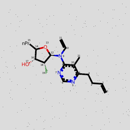 C=CCCc1ncnc(N(C=C)[C@@H]2OC(CCC)[C@@H](O)[C@H]2F)c1C